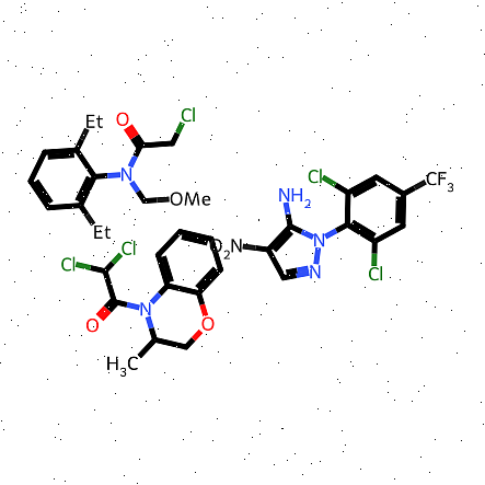 CC1COc2ccccc2N1C(=O)C(Cl)Cl.CCc1cccc(CC)c1N(COC)C(=O)CCl.Nc1c([N+](=O)[O-])cnn1-c1c(Cl)cc(C(F)(F)F)cc1Cl